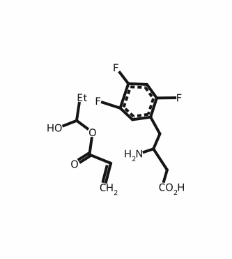 C=CC(=O)OC(O)CC.NC(CC(=O)O)Cc1cc(F)c(F)cc1F